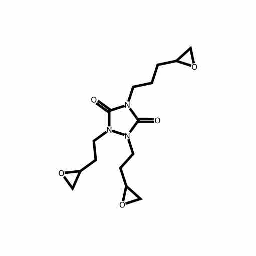 O=c1n(CCCC2CO2)c(=O)n(CCC2CO2)n1CCC1CO1